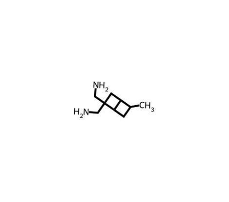 CC1CC2C1CC2(CN)CN